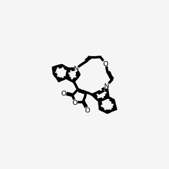 O=C1OC(=O)C2=C1c1cn(c3ccccc13)/C=C/CO/C=C/n1cc2c2ccccc21